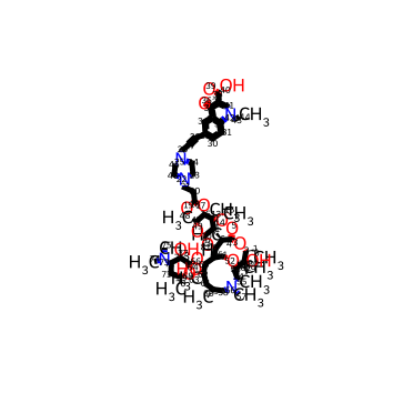 CC[C@H]1OC(=O)[C@H](C)[C@@H](O[C@H]2C[C@@](C)(OC)[C@@H](OC(=O)CCN3CCN(CC#Cc4ccc5c(c4)c(=O)c(C(=O)O)cn5CC)CC3)[C@H](C)O2)[C@@H]2CO[C@H]([C@@H](C)N(C)C[C@H](C)C[C@@](C)(O)[C@@H]2O[C@@H]2O[C@H](C)C[C@H](N(C)C)[C@H]2O)[C@]1(C)O